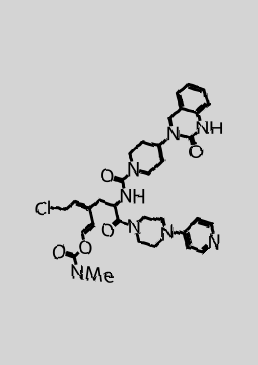 CNC(=O)O/C=C/C(=C\CCl)CC(NC(=O)N1CCC(N2Cc3ccccc3NC2=O)CC1)C(=O)N1CCN(c2ccncc2)CC1